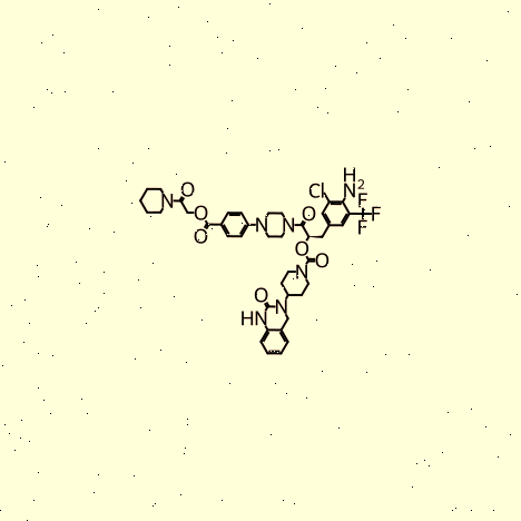 Nc1c(Cl)cc(C[C@@H](OC(=O)N2CCC(N3Cc4ccccc4NC3=O)CC2)C(=O)N2CCN(c3ccc(C(=O)OCC(=O)N4CCCCC4)cc3)CC2)cc1C(F)(F)F